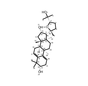 CC(C)(O)[C@@H]1CC[C@](C)([C@H]2[C@@H](O)C[C@@]3(C)[C@@H]4CC=C5C(=CC[C@H](O)C5(C)C)[C@]4(C)CC[C@]23C)O1